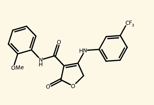 COc1ccccc1NC(=O)C1=C(Nc2cccc(C(F)(F)F)c2)COC1=O